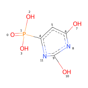 O=P(O)(O)c1cc(O)nc(O)n1